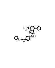 Nc1ccc(C2CCCC2)c2nc(Nc3ccc(OCCN4CCCC4)cc3)nn12